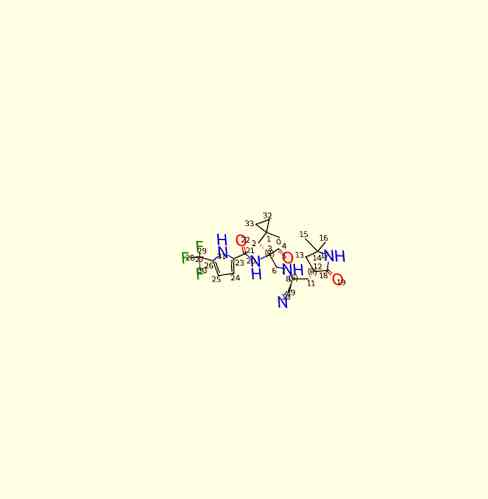 CC1(C[C@](C=O)(CN[C@H](C#N)C[C@@H]2CC(C)(C)NC2=O)NC(=O)c2ccc(C(F)(F)F)[nH]2)CC1